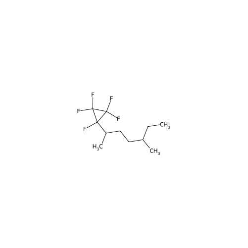 CCC(C)CCC(C)C1(F)C(F)(F)C1(F)F